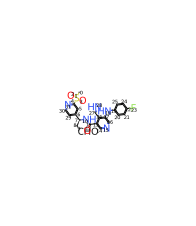 CS(=O)(=O)c1cc([C@H](CC=O)NC(=O)c2cncc(Nc3ccc(F)cc3)c2C=N)ccn1